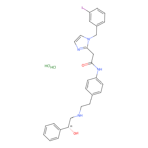 Cl.Cl.O=C(Cc1nccn1Cc1cccc(I)c1)Nc1ccc(CCNC[C@H](O)c2ccccc2)cc1